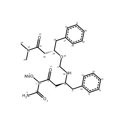 CON(C(N)=O)C(=O)C[C@H](Cc1ccccc1)NCO[C@H](CC(=O)N(C)C)Cc1ccccc1